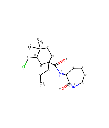 CCCC1(C(=O)N[C@H]2CCCCNC2=O)CCC(C)(C)C(CCl)C1